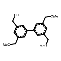 COCc1cc(CO)cc(-c2cc(COC)cc(COC)c2)c1